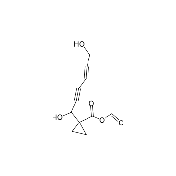 O=COC(=O)C1(C(O)C#CC#CCO)CC1